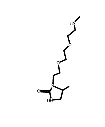 CNCCOCCOCCN1C(=O)NCC1C